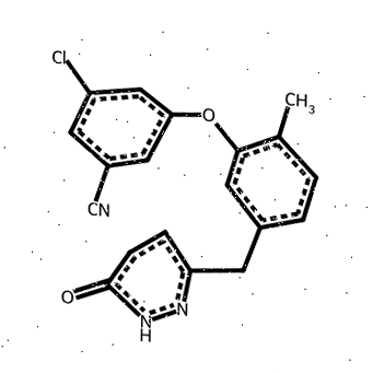 Cc1ccc(Cc2ccc(=O)[nH]n2)cc1Oc1cc(Cl)cc(C#N)c1